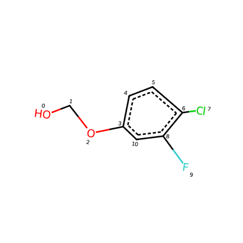 OCOc1ccc(Cl)c(F)c1